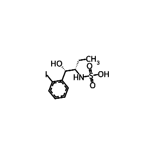 CC[C@H](NS(=O)(=O)O)[C@@H](O)c1ccccc1I